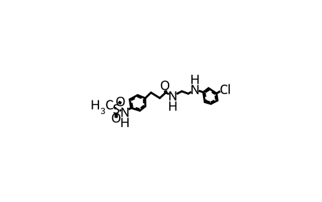 CS(=O)(=O)Nc1ccc(CCC(=O)NCCNc2cccc(Cl)c2)cc1